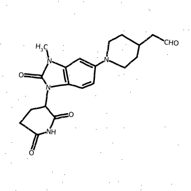 Cn1c(=O)n(C2CCC(=O)NC2=O)c2ccc(N3CCC(CC=O)CC3)cc21